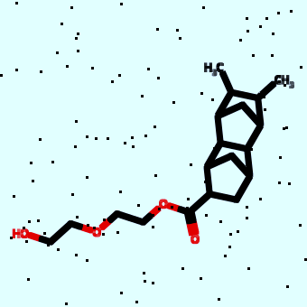 CC1C(C)C2CC1C1C3CC(C(=O)OCCOCCO)C(C3)C21